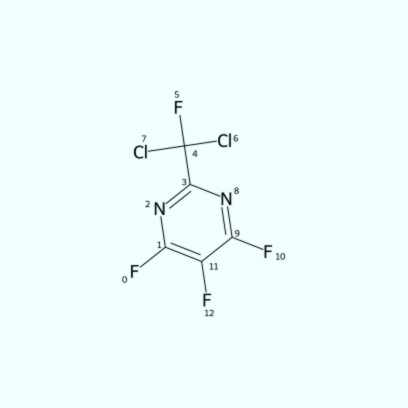 Fc1nc(C(F)(Cl)Cl)nc(F)c1F